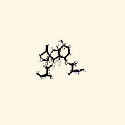 C=C1COC(=O)[C@]12C[C@@]1(C)[C@H](C(OC(=O)/C(C)=C\C)CC[C@@H]1C)[C@H]2OC(=O)/C(C)=C\C